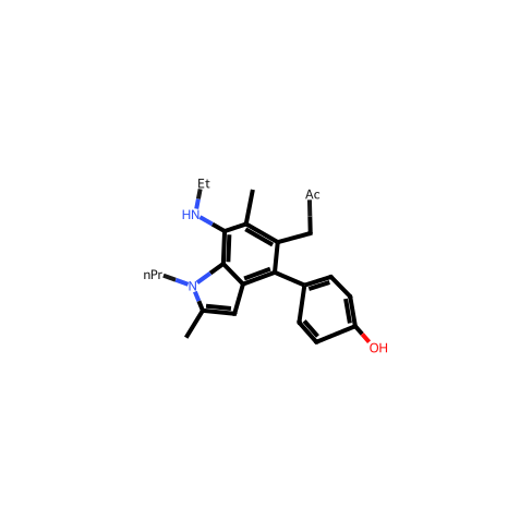 CCCn1c(C)cc2c(-c3ccc(O)cc3)c(CC(C)=O)c(C)c(NCC)c21